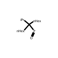 CCCCCCC(CCCCCC)(P=O)C(C)C